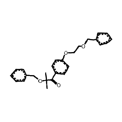 CC(C)(OCc1ccccc1)C(=O)c1ccc(OCCOCc2ccccc2)cc1